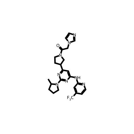 CC1CCCN1c1nc(Nc2cc(C(F)(F)F)ccn2)cc(C2CCN(C(=O)Cn3ccnc3)C2)n1